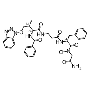 C[C@H](COn1nnc2ccccc21)[C@H](NC(=O)c1ccccc1)C(=O)NCCC(=O)N[C@@H](Cc1ccccc1)C(=O)N(Cl)CC(N)=O